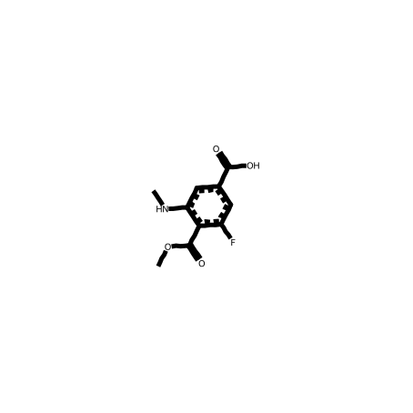 CNc1cc(C(=O)O)cc(F)c1C(=O)OC